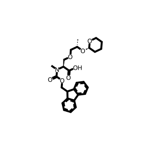 C[C@@H](COC[C@@H](C(=O)O)N(C)C(=O)OCC1c2ccccc2-c2ccccc21)O[C@H]1CCCCO1